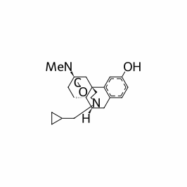 CN[C@]12CC[C@@]3(OC1)[C@H]1Cc4ccc(O)cc4[C@@]3(CCN1CC1CC1)C2